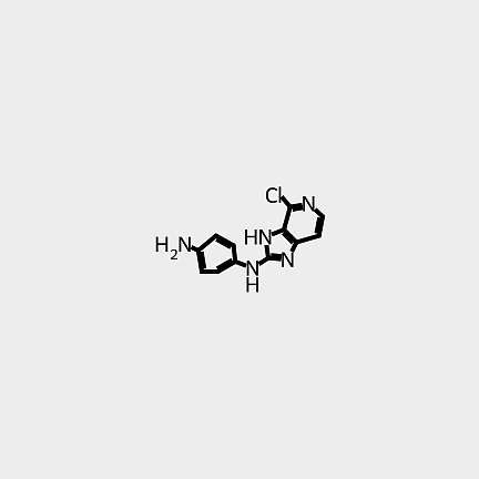 Nc1ccc(Nc2nc3ccnc(Cl)c3[nH]2)cc1